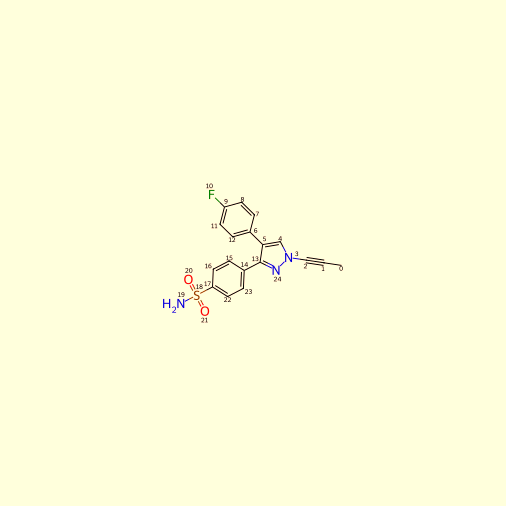 CC#Cn1cc(-c2ccc(F)cc2)c(-c2ccc(S(N)(=O)=O)cc2)n1